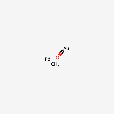 C.[O]=[Au].[Pd]